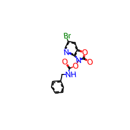 O=C(NCc1ccccc1)On1c(=O)oc2cc(Br)cnc21